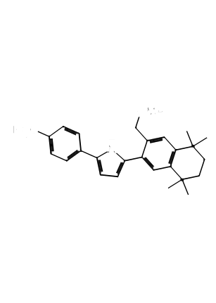 COCc1cc2c(cc1-c1ccc(-c3ccc(C(=O)O)cc3)[nH]1)C(C)(C)CCC2(C)C